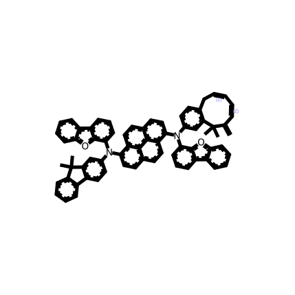 C=C1/C=C\C=C/Cc2ccc(N(c3ccc4ccc5c(N(c6ccc7c(c6)C(C)(C)c6ccccc6-7)c6cccc7c6oc6ccccc67)ccc6ccc3c4c65)c3cccc4c3oc3ccccc34)cc2C1(C)C